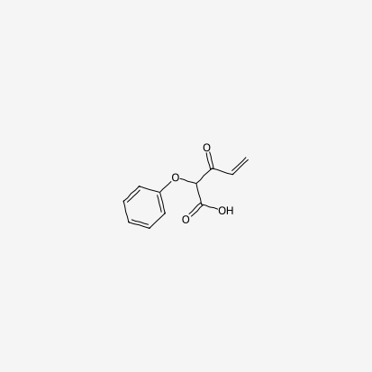 C=CC(=O)C(Oc1ccccc1)C(=O)O